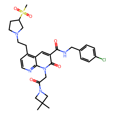 CC1(C)CN(C(=O)Cn2c(=O)c(C(=O)NCc3ccc(Cl)cc3)cc3c(CCN4CCC(S(C)(=O)=O)C4)ccnc32)C1